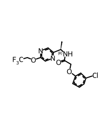 C[C@@H](NC(=O)COc1cccc(Cl)c1)c1cnc(OCC(F)(F)F)cn1